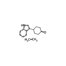 C=C.O=C1CCC(c2c[nH]c3ccccc23)CC1